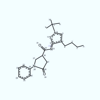 CCCCc1cn(C(C)(C)C)s/c1=N\C(=O)C1CC(=O)N(c2ccccc2)C1